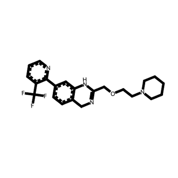 FC(F)(F)c1cccnc1-c1ccc2c(c1)NC(COCCN1CCCCC1)=N[CH]2